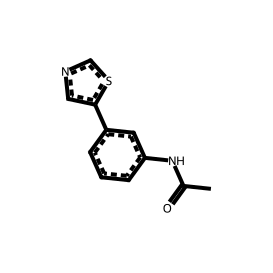 CC(=O)Nc1cccc(-c2cncs2)c1